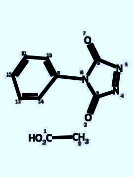 CC(=O)O.O=C1N=NC(=O)N1c1ccccc1